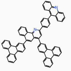 c1ccc2c(-c3ccc(-c4cc(-c5ccc6c7ccccc7c7ccccc7c6c5)c5cc(-c6ccc7c8ccccc8c8ccccc8c7c6)c6ccccc6c5n4)cc3)c3ccccc3nc2c1